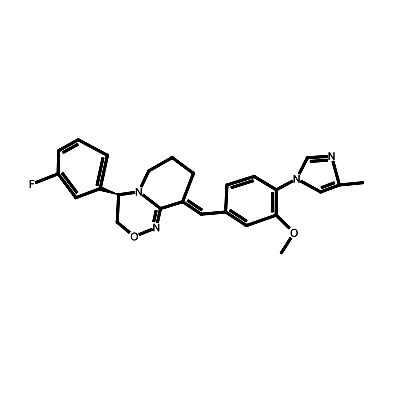 COc1cc(/C=C2\CCCN3C2=NOC[C@H]3c2cccc(F)c2)ccc1-n1cnc(C)c1